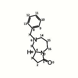 O=C1CC[C@H]2CN(Cc3ccccc3)CCCN12